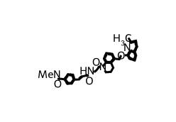 CNC(=O)c1ccc(C=CC(=O)NCC(=O)N2CCCc3c(COc4cccc5ccc(C)nc45)cccc32)cc1